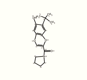 CC(C)(C)c1cc2c(cc1O)OC=C(C(=O)N1CCCC1)O2